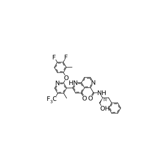 Cc1c(Oc2ncc(C(F)(F)F)c(C)c2-c2cc(=O)c3c(C(=O)N[C@H](CO)Cc4ccccc4)nccc3[nH]2)ccc(F)c1F